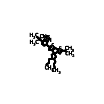 CCCCCCC1(CCCCCC)c2cc(-c3ccc(C(C)(C)CC)c4nsnc34)sc2-c2sc(C(C)C)cc21